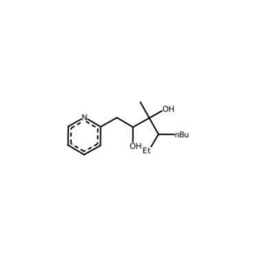 CCCCC(CC)C(C)(O)C(O)Cc1ccccn1